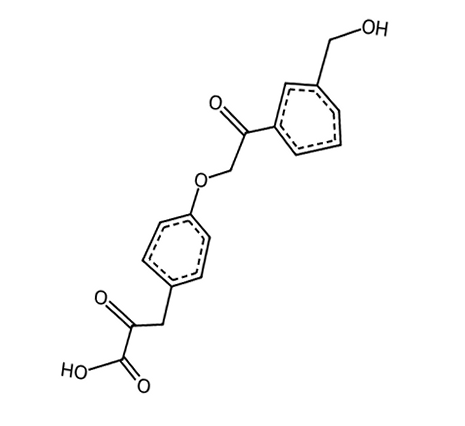 O=C(O)C(=O)Cc1ccc(OCC(=O)c2cccc(CO)c2)cc1